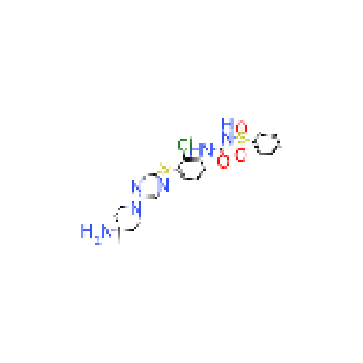 CC1(N)CCN(c2cnc(Sc3cccc(NC(=O)NS(=O)(=O)c4ccccc4)c3Cl)cn2)CC1